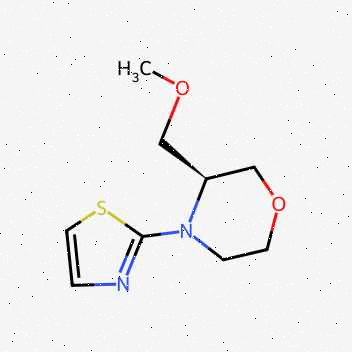 COC[C@H]1COCCN1c1nccs1